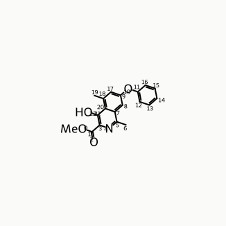 COC(=O)c1nc(C)c2cc(Oc3ccccc3)cc(C)c2c1O